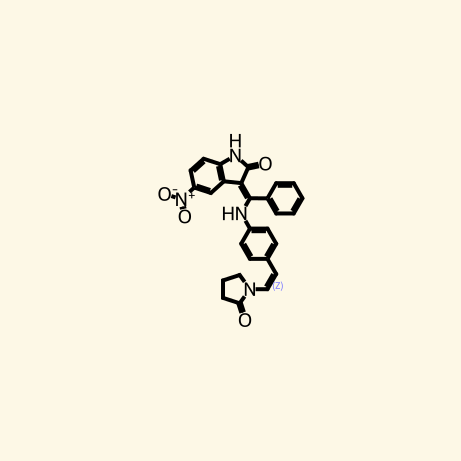 O=C1Nc2ccc([N+](=O)[O-])cc2C1=C(Nc1ccc(/C=C\N2CCCC2=O)cc1)c1ccccc1